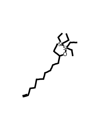 C=CCCCCCCCCC1CC[Si](CC)(CC)[Si](CC)(CC)O1